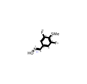 CSc1c(F)cc(/C=N/O)cc1F